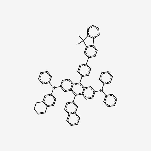 CC1(C)c2ccccc2-c2ccc(-c3ccc(-c4c5ccc(N(c6ccccc6)c6ccc7c(c6)CCC=C7)cc5c(-c5ccc6ccccc6c5)c5ccc(N(c6ccccc6)c6ccccc6)cc45)cc3)cc21